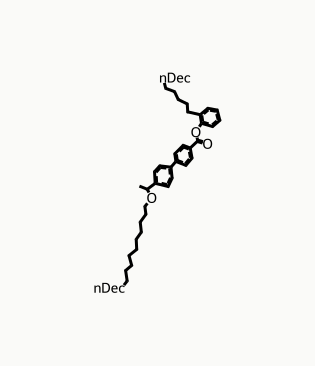 CCCCCCCCCCCCCCCCCCCCOC(C)c1ccc(-c2ccc(C(=O)Oc3ccccc3CCCCCCCCCCCCCCC)cc2)cc1